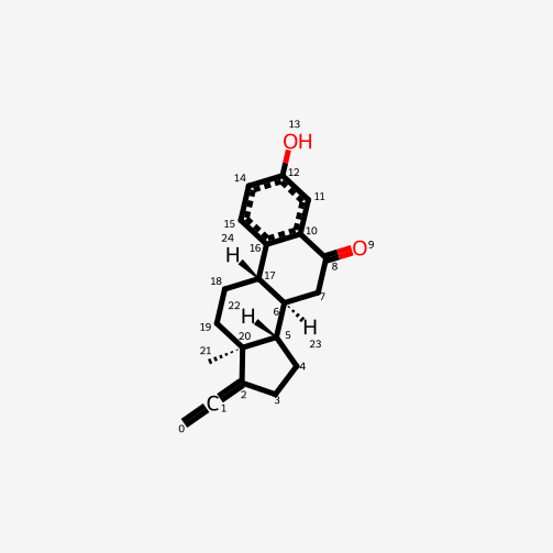 C=C=C1CC[C@H]2[C@@H]3CC(=O)c4cc(O)ccc4[C@H]3CC[C@]12C